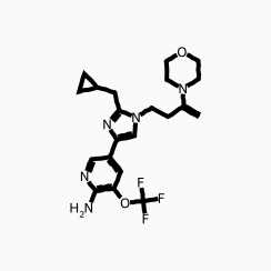 C=C(CCn1cc(-c2cnc(N)c(OC(F)(F)F)c2)nc1CC1CC1)N1CCOCC1